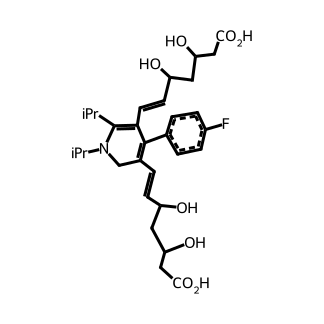 CC(C)C1=C(C=CC(O)CC(O)CC(=O)O)C(c2ccc(F)cc2)=C(C=CC(O)CC(O)CC(=O)O)CN1C(C)C